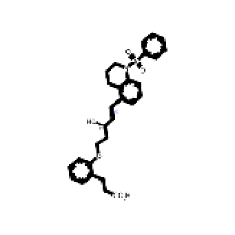 O=C(O)CCc1ccccc1OCC[C@@H](O)/C=C/c1cccc2c1CCCN2S(=O)(=O)c1ccccc1